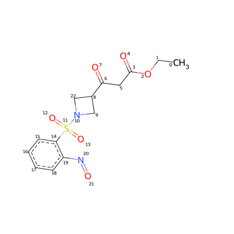 CCOC(=O)CC(=O)C1CN(S(=O)(=O)c2ccccc2N=O)C1